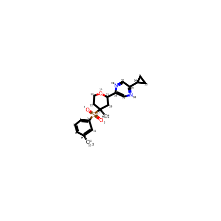 CCC1(S(=O)(=O)c2cccc(C(F)(F)F)c2)CCOC(c2cnc(C3CC3)cn2)C1